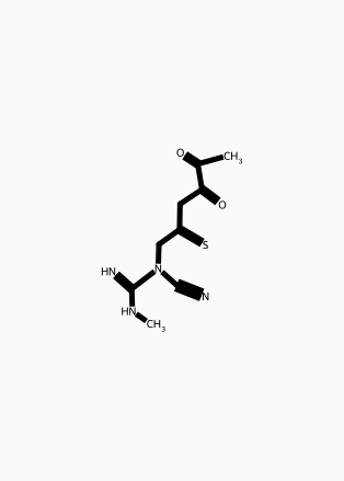 CNC(=N)N(C#N)CC(=S)CC(=O)C(C)=O